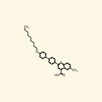 CCCCCCCCCOc1ccc(-c2ccc(-c3cc(C(=O)O)c4cc(C)ccc4n3)cc2)cc1